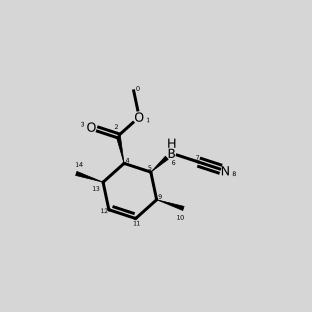 COC(=O)[C@H]1[C@@H](BC#N)[C@@H](C)C=C[C@H]1C